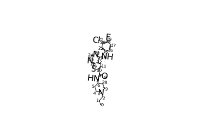 CCCN1CCC(NC(=O)c2cc3c(Nc4ccc(F)c(Cl)c4)ncnc3s2)CC1